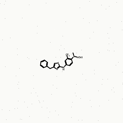 CCCCCCCCN(C)c1ccc(Nc2nc(Cc3ccccc3)cs2)cc1C(F)(F)F